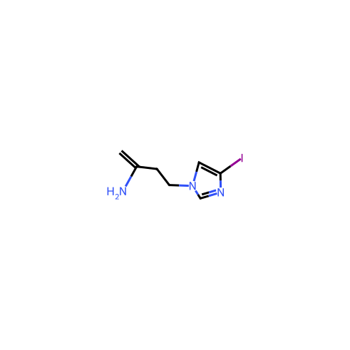 C=C(N)CCn1cnc(I)c1